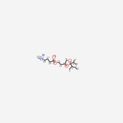 CCC(C)C1(C(C)C)OCC(CCOC(=O)CCCN(C)C)O1